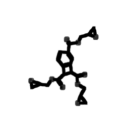 O=C(OCC1CO1)c1ccc2c(c1)C(C(=O)OCC1CO1)C2C(=O)OCC1CO1